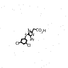 CC(C)c1nc(CC(=O)O)n(C)c1Sc1cc(Cl)cc(Cl)c1